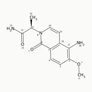 COc1ccc2c(=O)n([C@H](C)C(N)=O)ccc2c1N